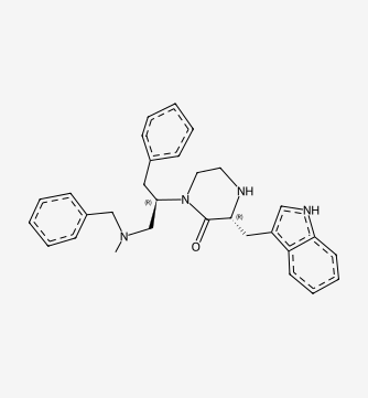 CN(Cc1ccccc1)C[C@@H](Cc1ccccc1)N1CCN[C@H](Cc2c[nH]c3ccccc23)C1=O